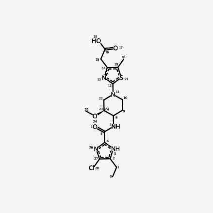 CCc1[nH]c(C(=O)NC2CCN(c3nc(CC(=O)O)c(C)s3)C[C@@H]2OC)nc1Cl